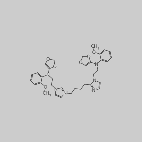 COc1ccccc1N(CCN1C=C[N+]=C1CCCC[n+]1ccn(CCN(C2=COCO2)c2ccccc2OC)c1)C1=COCO1